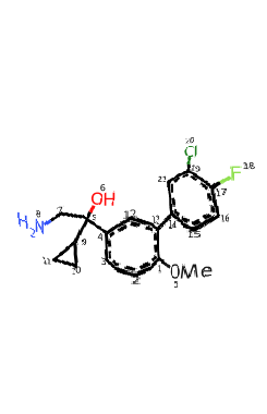 COc1ccc(C(O)(CN)C2CC2)cc1-c1ccc(F)c(Cl)c1